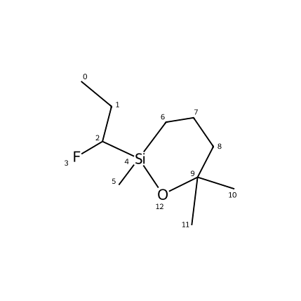 CCC(F)[Si]1(C)CCCC(C)(C)O1